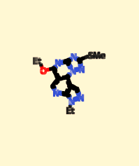 CCOc1nc2nc(SC)nn2c2c1cnc1c2cnn1CC